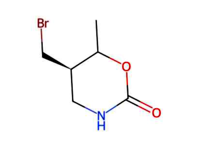 CC1OC(=O)NC[C@H]1CBr